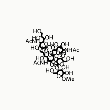 COC1OC(CO)C(OC2OC(CO)C(OC3OC(CO)C(O)C(O)C3NC(C)=O)C(OC3(C(=O)O)CC(O)C(NC(C)=O)C([C@H](O)C(CO)OC4(C(=O)O)CC(O)C(NC(C)=O)C([C@H](O)[C@H](O)CO)O4)O3)C2O)C(O)C1O